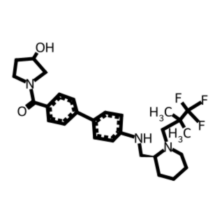 CC(C)(CN1CCCC[C@H]1CNc1ccc(-c2ccc(C(=O)N3CCC(O)C3)cc2)cc1)C(F)(F)F